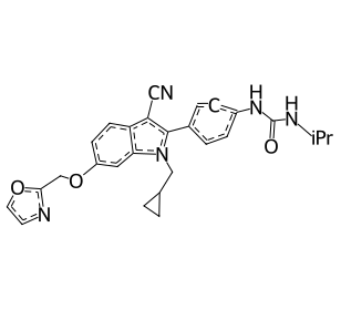 CC(C)NC(=O)Nc1ccc(-c2c(C#N)c3ccc(OCc4ncco4)cc3n2CC2CC2)cc1